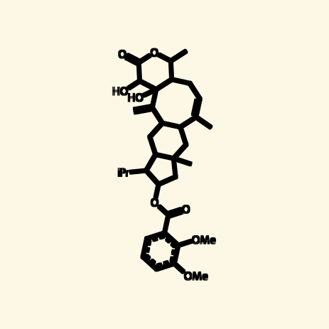 C=C1C2CC3C(C(C)C)C(OC(=O)c4cccc(OC)c4OC)CC3(C)CC2C(C)=CCC2C(C)OC(=O)C(O)C12O